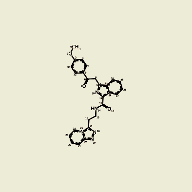 COc1ccc(C(=O)Cn2nc(C(=O)NCCc3nnc4ccccn34)c3ccccc32)cc1